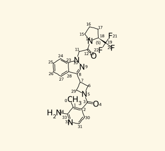 Cc1c(C(=O)N2CC(c3nn(CC(=O)N4CCC[C@H]4C(F)(F)F)c4ccccc34)C2)ccnc1N